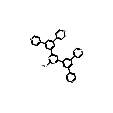 CSc1nc(-c2cc(C3=CCNC=C3)cc(-c3ccncc3)c2)cc(-c2cc(-c3ccncc3)cc(-c3ccncc3)c2)n1